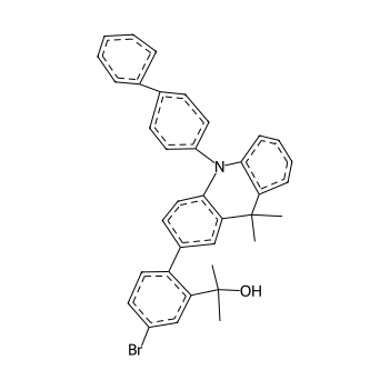 CC(C)(O)c1cc(Br)ccc1-c1ccc2c(c1)C(C)(C)c1ccccc1N2c1ccc(-c2ccccc2)cc1